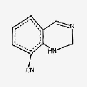 N#Cc1cccc2c1NCN=C2